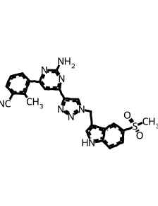 Cc1c(C#N)cccc1-c1cc(-c2cn(Cc3c[nH]c4ccc(S(C)(=O)=O)cc34)nn2)nc(N)n1